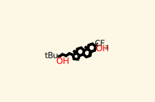 CC(C)(C)C(O)CCCC1CCC2C3CC=C4C[C@](O)(C(F)(F)F)CCC4(C)C3CCC12C